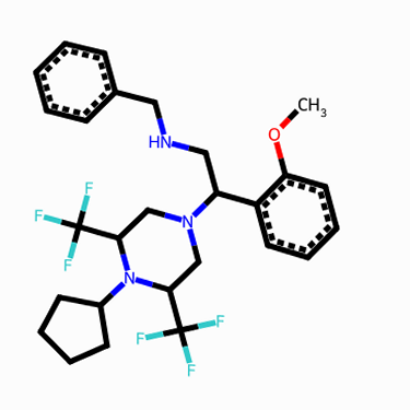 COc1ccccc1C(CNCc1ccccc1)N1CC(C(F)(F)F)N(C2CCCC2)C(C(F)(F)F)C1